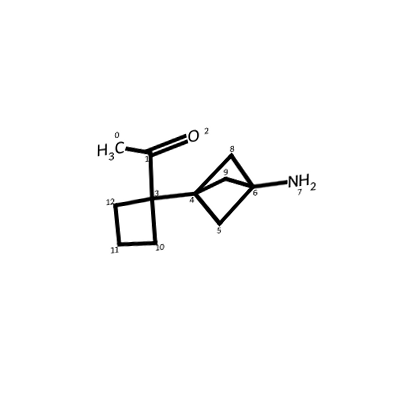 CC(=O)C1(C23CC(N)(C2)C3)CCC1